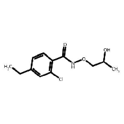 CCc1ccc(C(=O)NOCC(C)O)c(Cl)c1